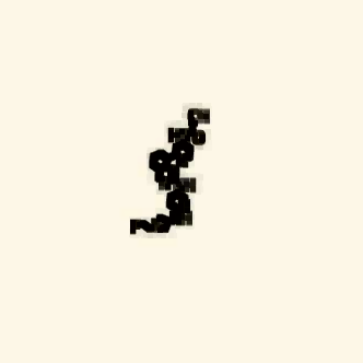 C#CC(=O)Nc1ccnc(-c2cccc3cnc(Nc4ccc(NC5CN(CCF)C5)nc4)nc23)c1